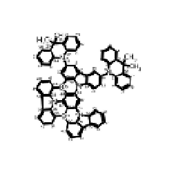 CC1(C)c2ccccc2N(c2ccc3c(c2)c2cc(N4c5ccccc5C(C)(C)c5ccccc54)cc4c2n3-c2cc3c5c6c2B4c2cccc4c7cccc(c7n-6c24)B5c2cccc4c5ccccc5n-3c24)c2ccccc21